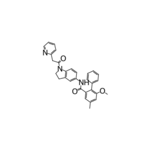 COc1cc(C)cc(C(=O)Nc2ccc3c(c2)CCN3C(=O)Cc2ccccn2)c1-c1ccccc1